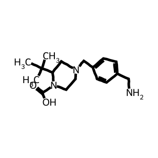 CC(C)(C)C1CN(Cc2ccc(CN)cc2)CCN1C(=O)O